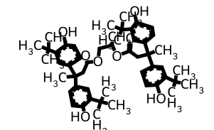 CC(COC(=O)CC(C)(c1ccc(O)c(C(C)(C)C)c1)c1ccc(O)c(C(C)(C)C)c1)OC(=O)CC(C)(c1ccc(O)c(C(C)(C)C)c1)c1ccc(O)c(C(C)(C)C)c1